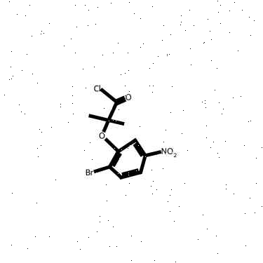 CC(C)(Oc1cc([N+](=O)[O-])ccc1Br)C(=O)Cl